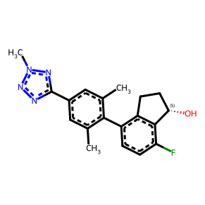 Cc1cc(-c2nnn(C)n2)cc(C)c1-c1ccc(F)c2c1CC[C@@H]2O